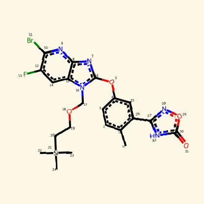 Cc1ccc(Oc2nc3nc(Br)c(F)cc3n2COCC[Si](C)(C)C)cc1-c1noc(=O)[nH]1